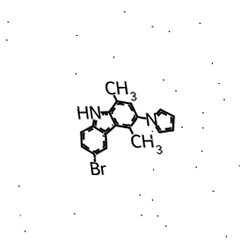 Cc1cc(-n2cccc2)c(C)c2c1[nH]c1ccc(Br)cc12